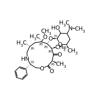 CO[C@]1(C)C[C@@H](C)CN[C@@H](c2ccccc2)COC(=O)[C@H](C)C(=O)[C@H](C)[C@H]1O[C@@H]1O[C@H](C)CC(N(C)C)C1O